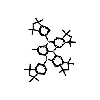 Cc1cc2c3c(c1)N(c1ccc4c(c1)C(C)(C)CC4(C)C)c1cc4c(cc1B3c1cc3c(cc1N2c1ccc2c(c1)C(C)(C)CC2(C)C)C(C)(C)CC3(C)C)C(C)(C)CC4(C)C